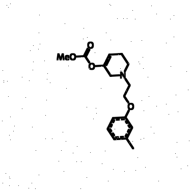 COC(=O)OC1=CCCN(CCOc2cccc(C)c2)C1